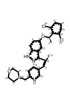 C[C@@H](Oc1ccc2[nH]nc(/C(F)=C\c3ccc(CN4CCOCC4)nc3)c2c1)c1c(Cl)cccc1Cl